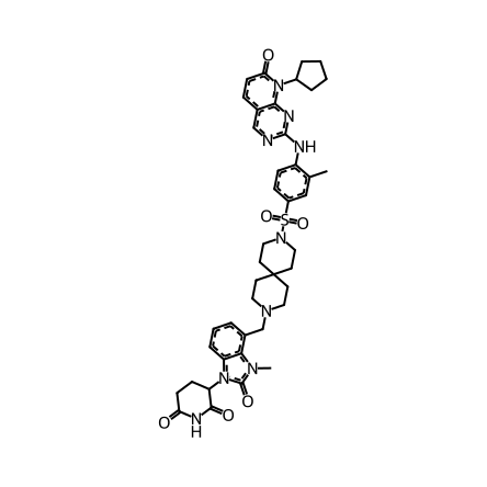 Cc1cc(S(=O)(=O)N2CCC3(CCN(Cc4cccc5c4n(C)c(=O)n5C4CCC(=O)NC4=O)CC3)CC2)ccc1Nc1ncc2ccc(=O)n(C3CCCC3)c2n1